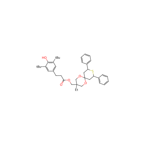 CCC1(COC(=O)CCc2cc(C(C)(C)C)c(O)c(C(C)(C)C)c2)COC2(CC(c3ccccc3)SC(c3ccccc3)C2)OC1